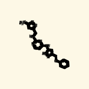 Cc1cc(CNc2nccc(Nc3cc(COc4ccccc4)n[nH]3)n2)on1